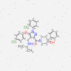 CC(C)NCc1c(C(=O)N2CCC(O)(c3ccccc3)CC2)nn(-c2ccccc2Cl)c1Oc1ccc(Cl)cc1